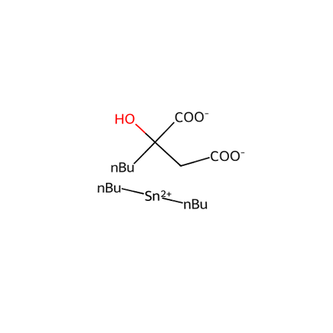 CCCCC(O)(CC(=O)[O-])C(=O)[O-].CCC[CH2][Sn+2][CH2]CCC